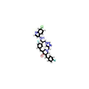 O=C1/C(=C/c2ccc(F)cc2)CN(Cc2cn(CCCNc3ccnc4cc(Cl)ccc34)nn2)C/C1=C\c1ccc(F)cc1